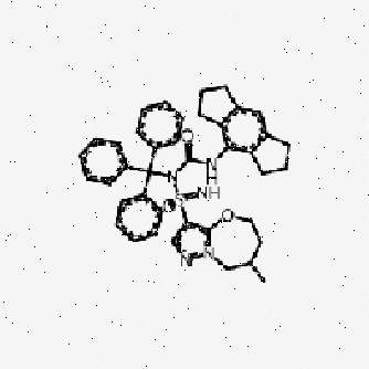 CC1CCOc2c(S(=N)(=O)N(C(=O)Nc3c4c(cc5c3CCC5)CCC4)C(c3ccccc3)(c3ccccc3)c3ccccc3)cnn2C1